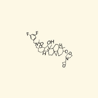 CC(=O)N(Cc1cc(F)cc(F)c1)CC1C[C@@H](C)[C@H]2C(O1)[C@H](O)C1(C)C3CC[C@H]4C(C)(C)C(OC5CN(C6COC6)CCO5)CCC45CC35CCC21C